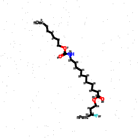 CCCCCCCCCCCCCCCCOC(=O)NCCCCCCCCCCC(=O)OCCC(F)CCCCC